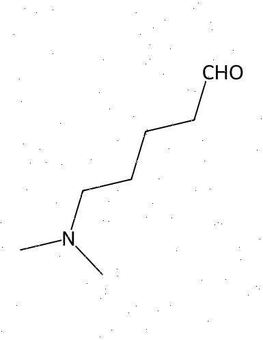 CN(C)CCCCC=O